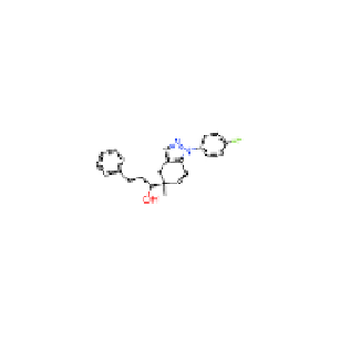 CC1(C(O)CCc2ccccc2)C=Cc2c(cnn2-c2ccc(F)cc2)C1